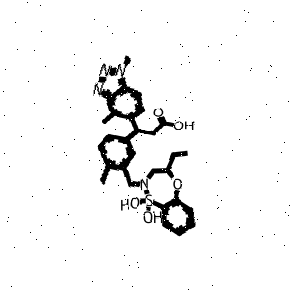 CCC1CN(Cc2cc(C(CC(=O)O)c3ccc4c(nnn4C)c3C)ccc2C)S(O)(O)c2ccccc2O1